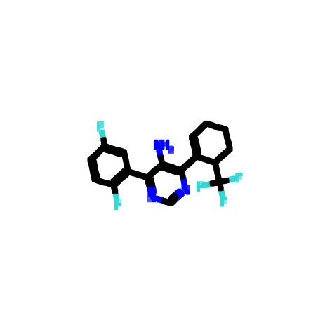 Nc1c(C2=CCCCC2C(F)(F)F)ncnc1-c1cc(F)ccc1F